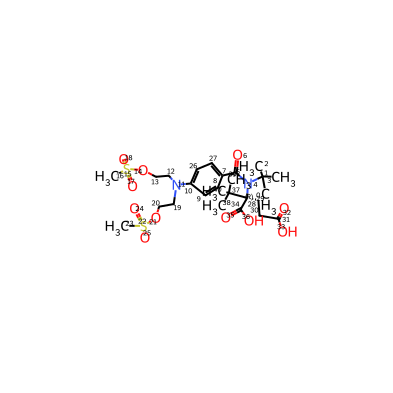 CC(C)(C)N(C(=O)c1ccc(N(CCOS(C)(=O)=O)CCOS(C)(=O)=O)cc1)[C@@](CCC(=O)O)(C(=O)O)C(C)(C)C